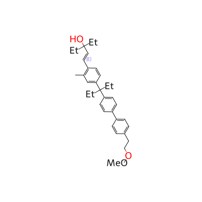 CCC(O)(/C=C/c1ccc(C(CC)(CC)c2ccc(-c3ccc(CCOOC)cc3)cc2)cc1C)CC